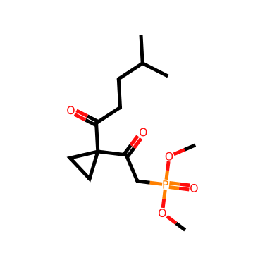 COP(=O)(CC(=O)C1(C(=O)CCC(C)C)CC1)OC